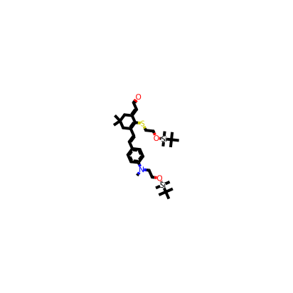 CN(CCO[Si](C)(C)C(C)(C)C)c1ccc(/C=C/C2=C(SCCO[Si](C)(C)C(C)(C)C)C(=C/C=O)/CC(C)(C)C2)cc1